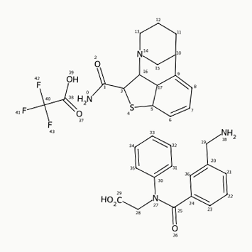 NC(=O)C1SC2C=CC=C3C4CCCN(C4)C1C32.NCc1cccc(C(=O)N(CC(=O)O)c2ccccc2)c1.O=C(O)C(F)(F)F